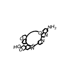 Cc1cc2nc3sc2c(c1CC(=O)O)-c1ccc2c(c1)C(CCCCCOc1c(cnc4cc(N)ccc14)-c1cc-3ccn1)CCO2